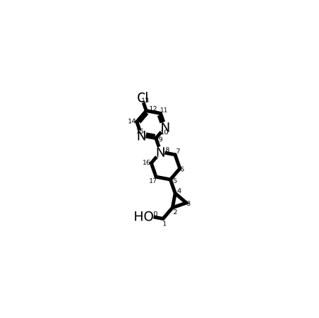 OCC1CC1C1CCN(c2ncc(Cl)cn2)CC1